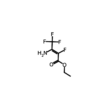 CCOC(=O)C(F)=C(N)C(F)(F)F